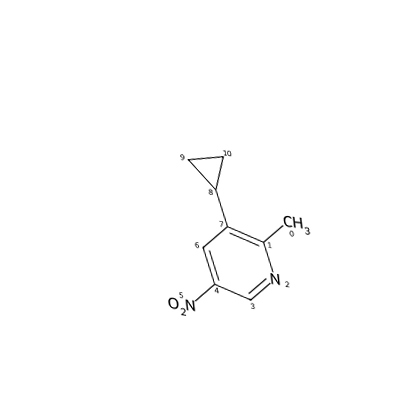 Cc1ncc([N+](=O)[O-])cc1C1CC1